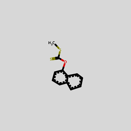 CSC(=S)Oc1cccc2ccccc12